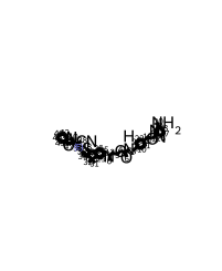 CN(CCOC(=O)NCc1ccc(COc2nccc(N)n2)cc1)c1ccc2c(c1)C(C)(C)c1cc(/C=C(\C#N)c3nc4ccccc4o3)sc1-2